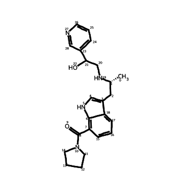 C[C@H](Cc1c[nH]c2c(C(=O)N3CCCC3)cccc12)NCC(O)c1cccnc1